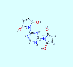 O=C1C=CC(=O)N1c1ncnc(N2C(=O)C=CC2=O)n1